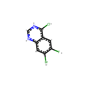 Fc1cc2c(Cl)ncnc2cc1Br